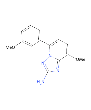 COc1cccc(-c2ccc(OC)c3nc(N)nn23)c1